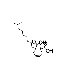 CCCC1(C(=O)O)CC=CCC1(CCCCCCCC(C)C)C(=O)O